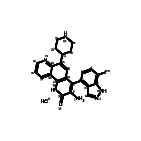 Cl.Nc1c(-c2ccc(F)c3[nH]ncc23)c2cc(C3CCNCC3)c3ncccc3c2[nH]c1=O